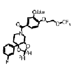 [2H]C1([2H])OC2CN(C(=O)c3ccc(OCCOC(F)(F)F)c(OC)c3)CCC2(c2cccc(F)c2)O1